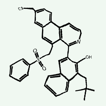 CC(C)(C)Cc1c(O)c(-c2nccc3c2c(CS(=O)(=O)c2ccccc2)cc2cc(Cl)ccc23)cc2ccccc12